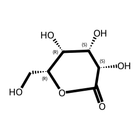 O=C1O[C@H](CO)[C@H](O)[C@H](O)[C@@H]1O